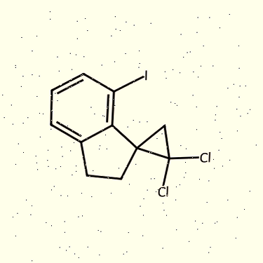 ClC1(Cl)CC12CCc1cccc(I)c12